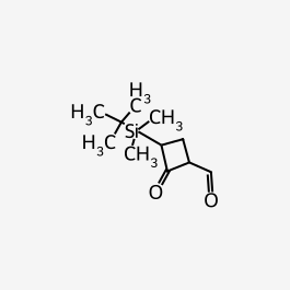 CC(C)(C)[Si](C)(C)C1CC(C=O)C1=O